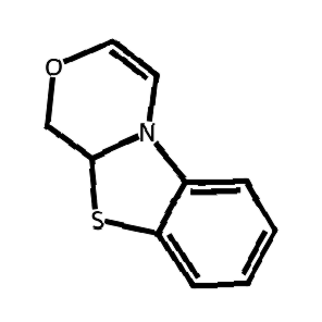 C1=CN2c3ccccc3SC2CO1